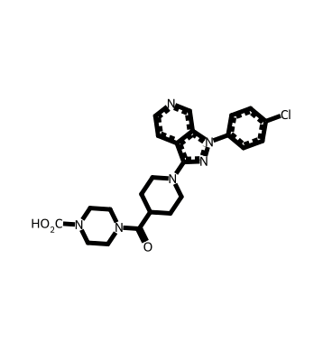 O=C(O)N1CCN(C(=O)C2CCN(c3nn(-c4ccc(Cl)cc4)c4cnccc34)CC2)CC1